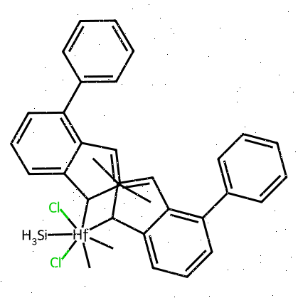 CC1=Cc2c(-c3ccccc3)cccc2[CH]1[Hf]([CH3])([CH3])([SiH3])([Cl])([Cl])[CH]1C(C)=Cc2c(-c3ccccc3)cccc21